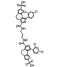 O=C(NCCCNC(=O)c1nn(-c2ccc(Cl)cc2Cl)c2c1CCc1cc(S(=O)(=O)O)sc1-2)c1nn(-c2ccc(Cl)cc2Cl)c2c1CCc1cc(S(=O)(=O)O)sc1-2